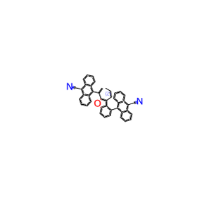 C=C(c1oc2cccc(-c3c4ccccc4c(C#N)c4ccccc34)c2c1/C=C\C)c1c2ccccc2c(C#N)c2ccccc12